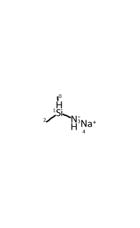 C[SiH](C)[NH-].[Na+]